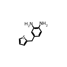 Nc1ccc(Cc2cccs2)cc1N